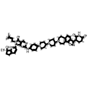 CC[C@@]1(O)CCc2ccc(-n3c4nc(Nc5ccc(N6CCC(N7CCC(N8CCc9ccc%10c(C%11CCC(=O)NC%11=O)noc%10c9CC8)CC7)CC6)cc5)ncc4c(=O)n3CC=C(F)F)nc21